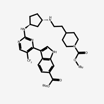 COC(=O)c1ccc2c(-c3nc(N[C@H]4CC[C@H](NCCC5CCN(C(=O)OC(C)(C)C)CC5)C4)ncc3C(F)(F)F)c[nH]c2c1